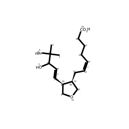 CCCCC(C)(C)C(O)/C=C/[C@@H]1COC[C@@H]1C/C=C\CCCC(=O)O